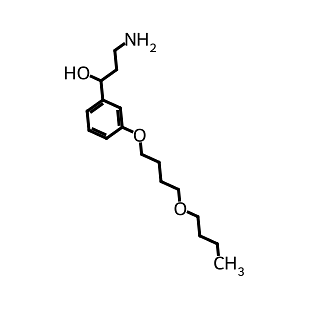 CCCCOCCCCOc1cccc(C(O)CCN)c1